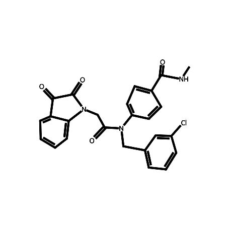 CNC(=O)c1ccc(N(Cc2cccc(Cl)c2)C(=O)CN2C(=O)C(=O)c3ccccc32)cc1